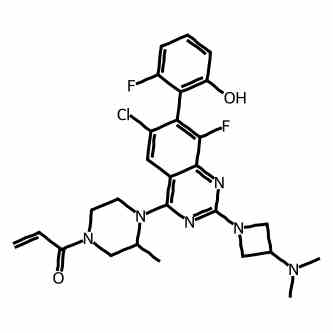 C=CC(=O)N1CCN(c2nc(N3CC(N(C)C)C3)nc3c(F)c(-c4c(O)cccc4F)c(Cl)cc23)C(C)C1